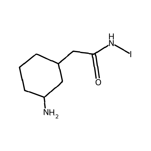 NC1CCCC(CC(=O)NI)C1